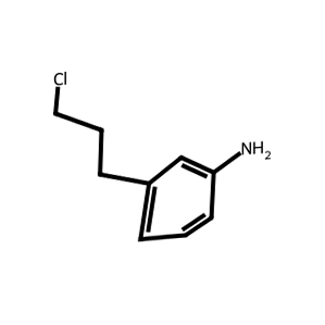 Nc1cccc(CCCCl)c1